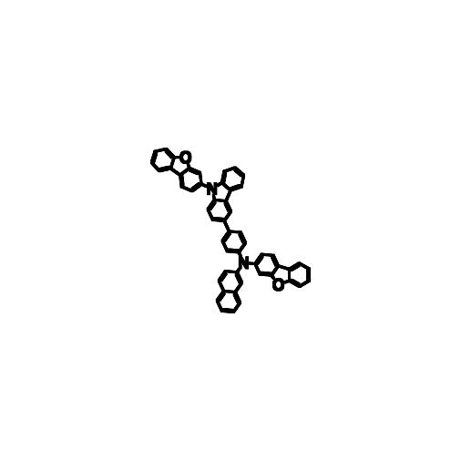 c1ccc2cc(N(c3ccc(-c4ccc5c(c4)c4ccccc4n5-c4ccc5c(c4)oc4ccccc45)cc3)c3ccc4c(c3)oc3ccccc34)ccc2c1